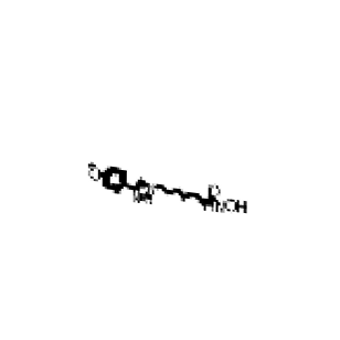 COc1ccc(-c2cn(CCCCCCC(=O)NO)nn2)cc1